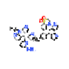 CN(c1cccnc1)c1ncccc1CC(c1cccnc1)c1cccc(N)n1.N#Cc1ccc(C(Cc2cccnc2N2CCS(=O)(=O)c3ccccc32)c2cccnc2)cc1